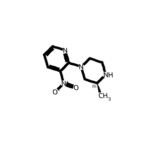 C[C@H]1CN(c2ncccc2[N+](=O)[O-])CCN1